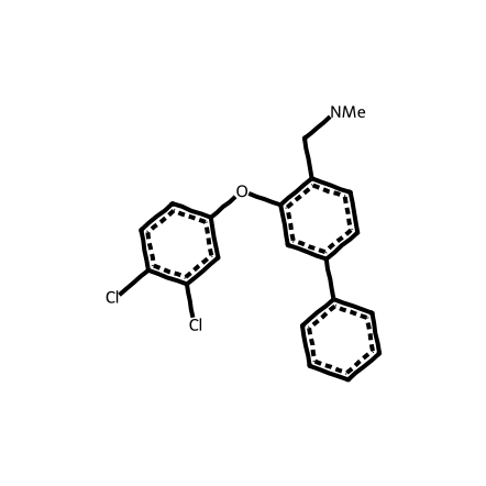 CNCc1ccc(-c2ccccc2)cc1Oc1ccc(Cl)c(Cl)c1